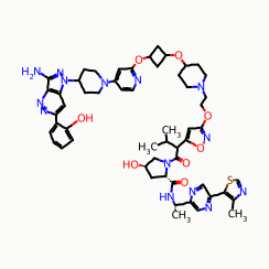 Cc1ncsc1-c1cnc([C@H](C)NC(=O)[C@@H]2C[C@@H](O)CN2C(=O)C(c2cc(OCCN3CCC(OC4CC(Oc5cc(N6CCC(n7nc(N)c8nnc(-c9ccccc9O)cc87)CC6)ccn5)C4)CC3)no2)C(C)C)cn1